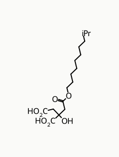 CC(C)CCCCCCCCOC(=O)CC(O)(CC(=O)O)C(=O)O